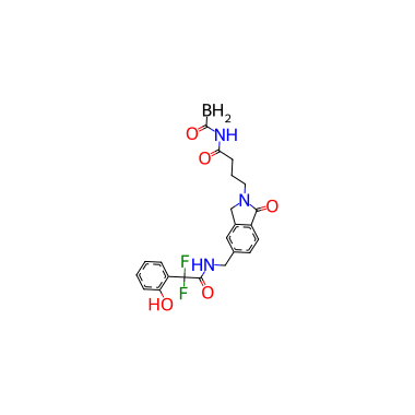 BC(=O)NC(=O)CCCN1Cc2cc(CNC(=O)C(F)(F)c3ccccc3O)ccc2C1=O